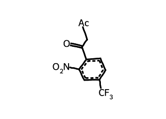 CC(=O)CC(=O)c1ccc(C(F)(F)F)cc1[N+](=O)[O-]